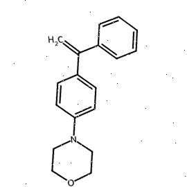 C=C(c1ccccc1)c1ccc(N2CCOCC2)cc1